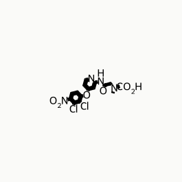 CN(CC(=O)Nc1cc(Oc2ccc([N+](=O)[O-])c(Cl)c2Cl)ccn1)C(=O)O